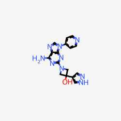 Nc1nc(N2CC(O)(c3cn[nH]c3)C2)nc2c1ncn2-c1ccncc1